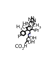 Cc1c(Nc2nnnn2C)nc(C(C)C)c(/C=C/[C@@H](O)C[C@@H](O)CC(=O)O)c1-c1ccc(F)cc1